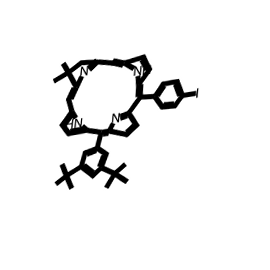 CC(C)(C)c1cc(-c2c3nc(c(-c4ccc(I)cc4)c4ccc(cc5nc(cc6ccc2[nH]6)C(C)(C)C5)[nH]4)C=C3)cc(C(C)(C)C)c1